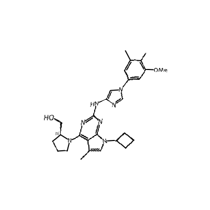 COc1cc(-n2cnc(Nc3nc(N4CCC[C@H]4CO)c4c(C)cn(C5CCC5)c4n3)c2)cc(C)c1C